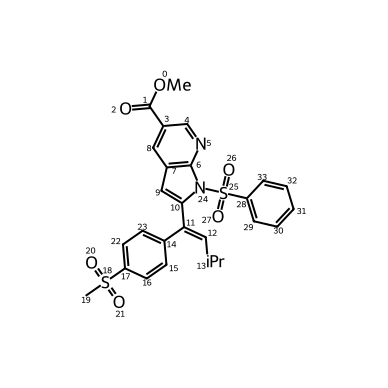 COC(=O)c1cnc2c(c1)cc(C(=CC(C)C)c1ccc(S(C)(=O)=O)cc1)n2S(=O)(=O)c1ccccc1